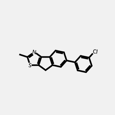 Cc1nc2c(s1)Cc1cc(-c3cccc(Cl)c3)ccc1-2